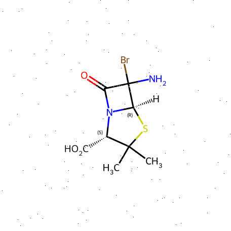 CC1(C)S[C@H]2N(C(=O)C2(N)Br)[C@H]1C(=O)O